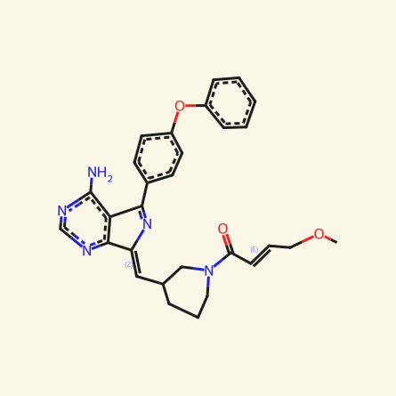 COC/C=C/C(=O)N1CCCC(/C=C2\N=C(c3ccc(Oc4ccccc4)cc3)c3c(N)ncnc32)C1